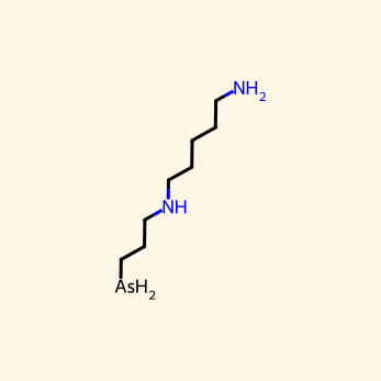 NCCCCCNCCC[AsH2]